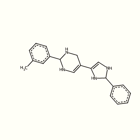 Cc1cccc(C2NC=C(C3=CNC(c4ccccc4)N3)CN2)c1